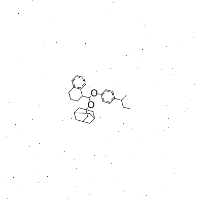 CCC(C)c1ccc(OC(OC23CC4CC(CC(C4)C2)C3)C2CCCc3ccccc32)cc1